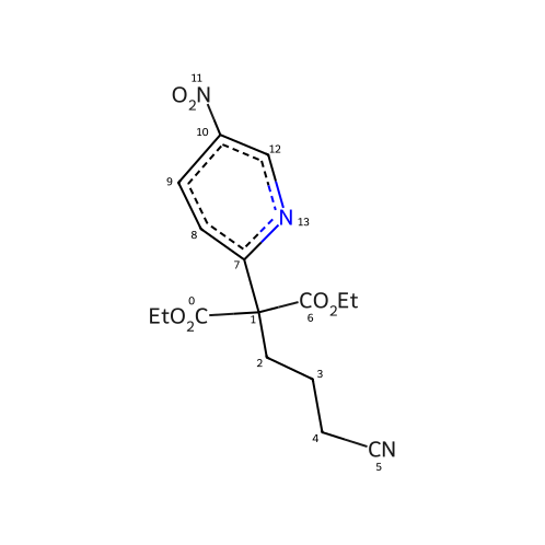 CCOC(=O)C(CCCC#N)(C(=O)OCC)c1ccc([N+](=O)[O-])cn1